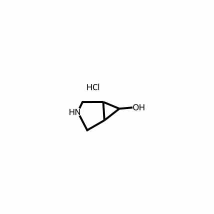 Cl.OC1C2CNCC12